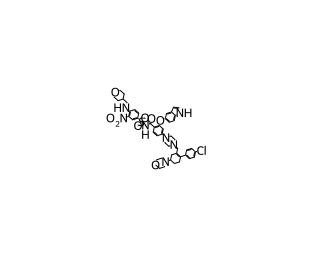 O=C(NS(=O)(=O)c1ccc(NCC2CCOCC2)c([N+](=O)[O-])c1)c1ccc(N2CCN(CC3=C(c4ccc(Cl)cc4)CCC(N4CCOCC4)C3)CC2)cc1Oc1ccc2[nH]ccc2c1